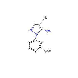 CCOC(=O)c1cccc(-n2ncc(C#N)c2N)c1